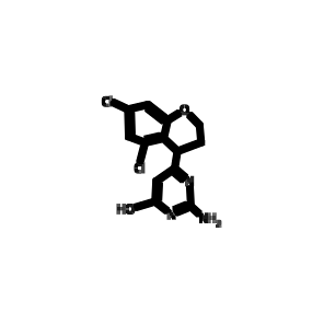 Nc1nc(O)cc(C2CCOc3cc(Cl)cc(Cl)c32)n1